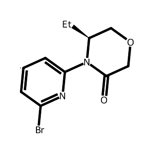 CC[C@H]1COCC(=O)N1c1c[c]cc(Br)n1